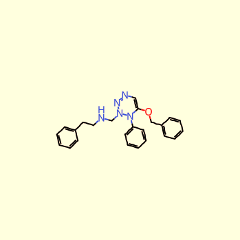 C1=C(OCc2ccccc2)N(c2ccccc2)N(CNCCc2ccccc2)N=N1